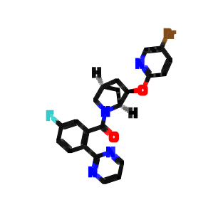 O=C(c1cc(F)ccc1-c1ncccn1)N1C[C@H]2C[C@@H](Oc3ccc(Br)cn3)[C@@H]1C2